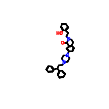 O=C1c2cc(N3CCN(CCC(c4ccccc4)c4ccccc4)CC3)ccc2CCN1CCc1ccccc1O